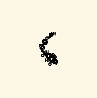 O=C(NCc1cnc(-c2ccc(OCC3CNC3)cc2)s1)c1ccc2c(c1)NC(=O)c1ccccc1S2(=O)=O